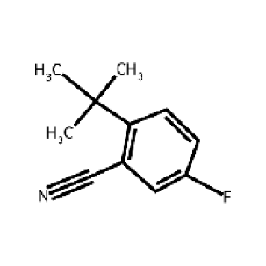 CC(C)(C)c1ccc(F)cc1C#N